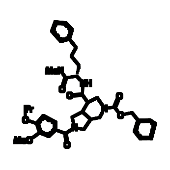 CNC(=O)[C@H](CCCc1ccccc1)NC(=O)C1CN(C(=O)OCc2ccccc2)CC2CN(C(=O)c3ccc(OC(C)C)c(OC)c3)CC21